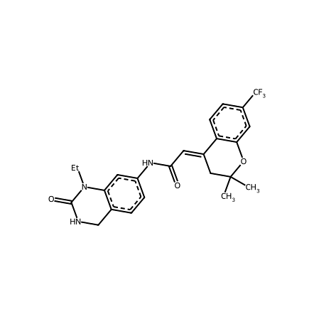 CCN1C(=O)NCc2ccc(NC(=O)/C=C3\CC(C)(C)Oc4cc(C(F)(F)F)ccc43)cc21